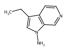 CCc1cn(N)c2cnccc12